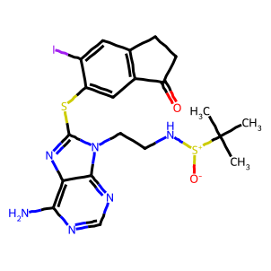 CC(C)(C)[S+]([O-])NCCn1c(Sc2cc3c(cc2I)CCC3=O)nc2c(N)ncnc21